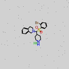 Cl.O=S(=O)(c1ccccc1Br)C(C1CCNCC1)N1CCc2ccccc2C1